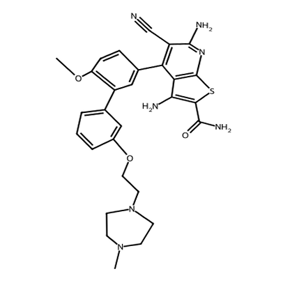 COc1ccc(-c2c(C#N)c(N)nc3sc(C(N)=O)c(N)c23)cc1-c1cccc(OCCN2CCN(C)CC2)c1